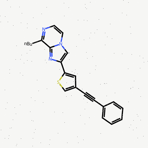 CCCCc1nccn2[c]c(-c3cc(C#Cc4ccccc4)cs3)nc12